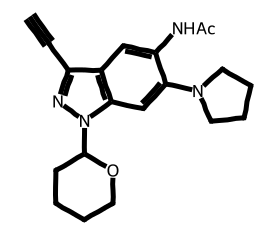 C#Cc1nn(C2CCCCO2)c2cc(N3CCCC3)c(NC(C)=O)cc12